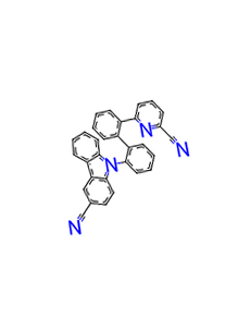 N#Cc1ccc2c(c1)c1ccccc1n2-c1ccccc1-c1ccccc1-c1cccc(C#N)n1